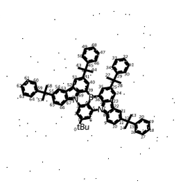 CC(C)(C)c1cc2c3c(c1)-n1c4ccc(C(C)(C)c5ccccc5)cc4c4cc(C(C)(C)c5ccccc5)cc(c41)B3c1cc(C(C)(C)c3ccccc3)cc3c4cc(C(C)(C)c5ccccc5)ccc4n-2c13